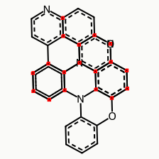 c1ccc2c(c1)Oc1ccccc1N2c1ccccc1-c1ccncc1-c1cnccc1-c1ccccc1N1c2ccccc2Oc2ccccc21